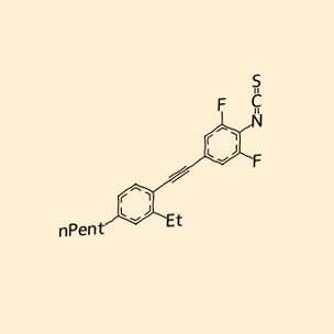 CCCCCc1ccc(C#Cc2cc(F)c(N=C=S)c(F)c2)c(CC)c1